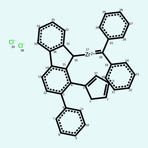 C1=CCC(c2c(-c3ccccc3)ccc3c2[CH]([Zr+2]=[C](c2ccccc2)c2ccccc2)c2ccccc2-3)=C1.[Cl-].[Cl-]